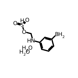 Bc1cccc(NCO[SH](=O)=O)c1.O.O